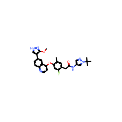 COc1n[nH]cc1-c1ccc2nccc(Oc3cc(F)c(CC(=O)Nc4cnn(C(C)(C)C)c4)cc3C)c2c1